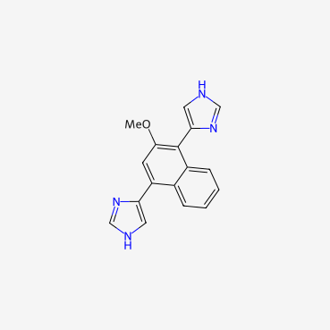 COc1cc(-c2c[nH]cn2)c2ccccc2c1-c1c[nH]cn1